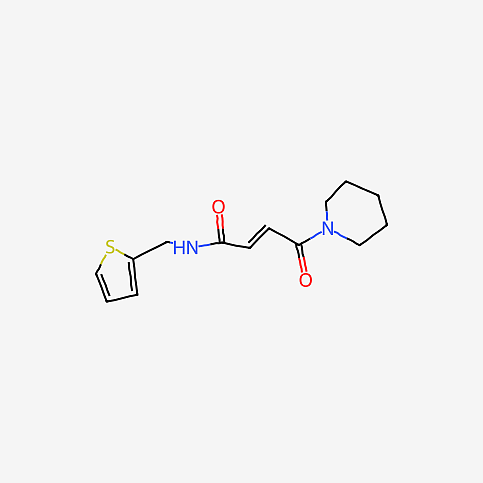 O=C(C=CC(=O)N1CCCCC1)NCc1cccs1